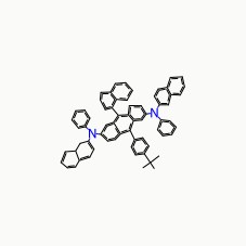 CC(C)(C)c1ccc(-c2c3cc(N(c4ccccc4)c4ccc5ccccc5c4)ccc3c(-c3cccc4ccccc34)c3cc(N(C4=CC=C5C=CC=CC5C4)c4ccccc4)ccc23)cc1